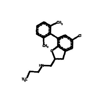 CCCNCC1Cc2cc(Cl)cc(-c3c(C)cccc3C)c2O1